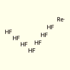 F.F.F.F.F.F.F.[Re]